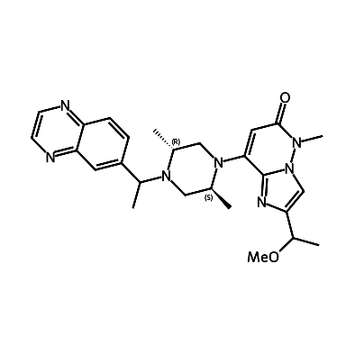 COC(C)c1cn2c(n1)c(N1C[C@@H](C)N(C(C)c3ccc4nccnc4c3)C[C@@H]1C)cc(=O)n2C